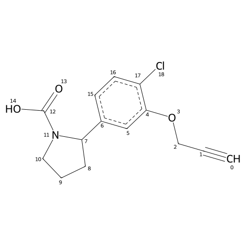 C#CCOc1cc(C2CCCN2C(=O)O)ccc1Cl